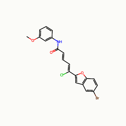 COc1cccc(NC(=O)/C=C/C=C(\Cl)c2cc3cc(Br)ccc3o2)c1